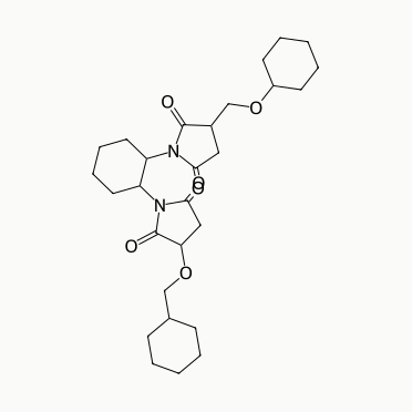 O=C1CC(COC2CCCCC2)C(=O)N1C1CCCCC1N1C(=O)CC(OCC2CCCCC2)C1=O